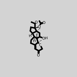 CC(=O)O[C@]1(C(C)=O)CC[C@H]2[C@@H]3CCC4=CC(=O)CC[C@]4(C)[C@@]3(F)C(O)C[C@@]21C